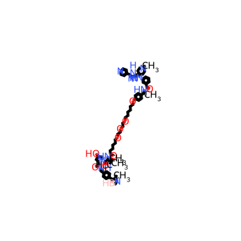 CC1=C(c2ccc(CNC(=O)C3CC(O)CN3C(=O)C(NC(=O)CCCCCOCCOCCOCCCCCCOc3ccc([C@@H](C)NC(=O)c4cccc(NC5(c6nnc(-c7ccncc7)[nH]6)CCN(C)CC5)c4)cc3)C(C)(C)C)cc2)BC=N1